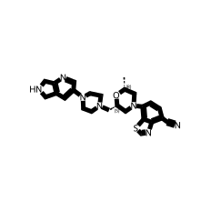 C[C@@H]1CN(c2ccc(C#N)c3ncsc23)C[C@H](CN2CCN(c3cnc4c(c3)CNC4)CC2)O1